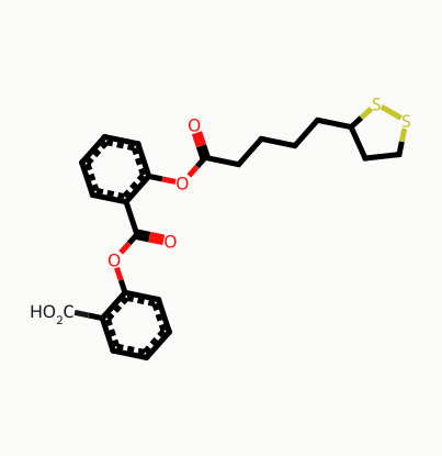 O=C(CCCCC1CCSS1)Oc1ccccc1C(=O)Oc1ccccc1C(=O)O